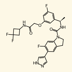 C[C@@H](NC(=O)N1CCc2cc(-c3cn[nH]c3)c(F)cc21)c1cc(F)cc(OCC(=O)NC2CC(F)(F)C2)c1